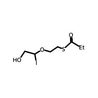 CCC(=O)SCCOC(I)CO